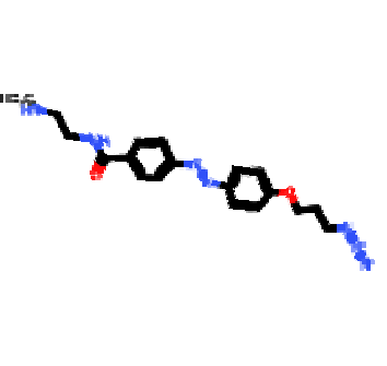 [N-]=[N+]=NCCCOc1ccc(/N=N/c2ccc(C(=O)NCCNC(=O)O)cc2)cc1